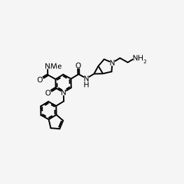 CNC(=O)c1cc(C(=O)NC2C3CN(CCN)CC32)cn(Cc2cccc3c2C=CC3)c1=O